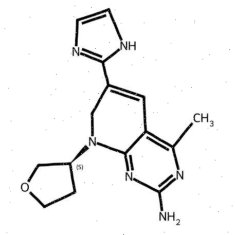 Cc1nc(N)nc2c1C=C(c1ncc[nH]1)CN2[C@H]1CCOC1